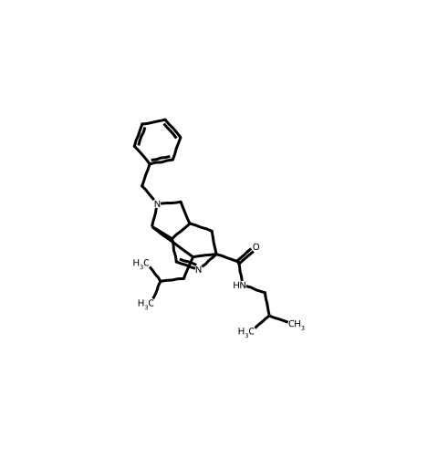 CC(C)CNC(=O)C12CC3CN(Cc4ccccc4)C(C3C=N1)C2CC(C)C